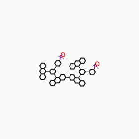 CP(C)(=O)c1ccc(-c2cc(-c3c4ccccc4cc4ccccc34)cc(-c3c4ccccc4cc4cc(-c5ccc6c(-c7cc(-c8cccc(P(C)(C)=O)c8)cc(-c8c9ccccc9cc9ccccc89)c7)c7ccccc7cc6c5)ccc34)c2)cc1